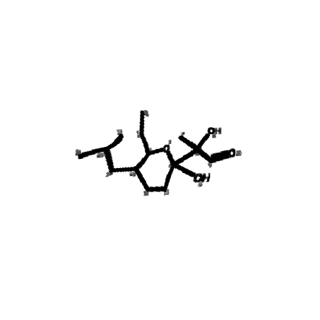 CCC1OC(O)(C(C)(O)C=O)CCC1CC(C)C